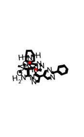 CS(=O)(=O)c1c([C@H]2C[C@H]3CC[C@@H](C2)N3C(=O)c2nnc[nH]2)nc2c(-c3cnc(-c4ccccc4)nc3)cnn2c1N